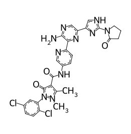 Cc1c(C(=O)Nc2ccc(-c3nc(-c4c[nH]c(N5CCCC5=O)n4)cnc3N)nc2)c(=O)n(-c2cc(Cl)ccc2Cl)n1C